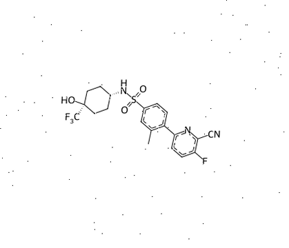 Cc1cc(S(=O)(=O)N[C@H]2CC[C@@](O)(C(F)(F)F)CC2)ccc1-c1ccc(F)c(C#N)n1